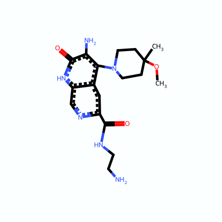 COC1(C)CCN(c2c(N)c(=O)[nH]c3cnc(C(=O)NCCN)cc23)CC1